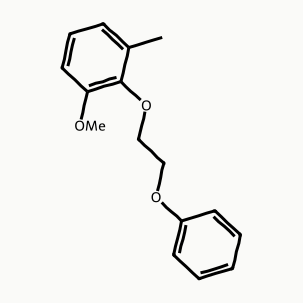 COc1cccc(C)c1OCCOc1ccccc1